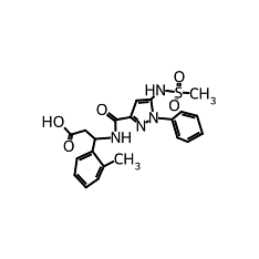 Cc1ccccc1C(CC(=O)O)NC(=O)c1cc(NS(C)(=O)=O)n(-c2ccccc2)n1